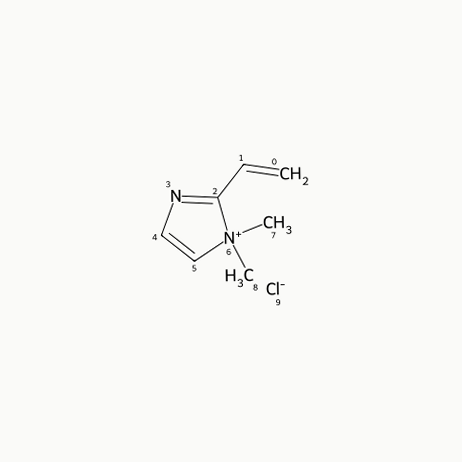 C=CC1=NC=C[N+]1(C)C.[Cl-]